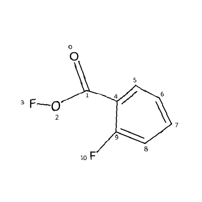 O=C(OF)c1ccccc1F